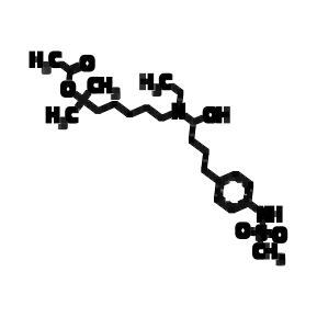 CCN(CCCCCC(C)(C)OC(C)=O)C(O)CCCc1ccc(NS(C)(=O)=O)cc1